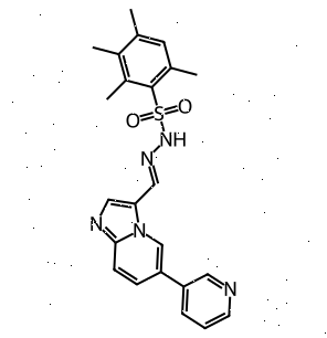 Cc1cc(C)c(S(=O)(=O)NN=Cc2cnc3ccc(-c4cccnc4)cn23)c(C)c1C